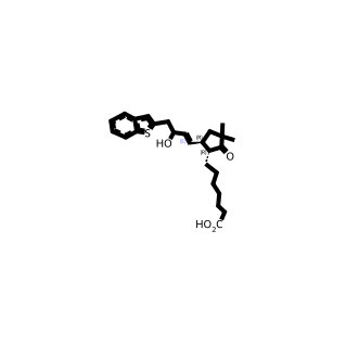 CC1(C)C[C@H](/C=C/C(O)Cc2cc3ccccc3s2)[C@@H](CCCCCCC(=O)O)C1=O